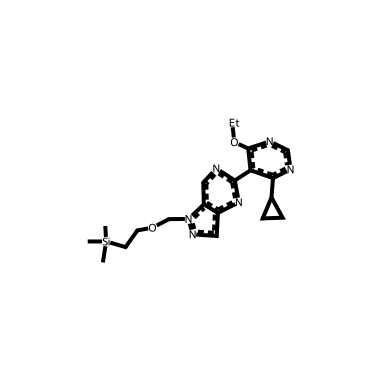 CCOc1ncnc(C2CC2)c1-c1ncc2c(cnn2COCC[Si](C)(C)C)n1